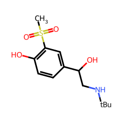 CC(C)(C)NCC(O)c1ccc(O)c(S(C)(=O)=O)c1